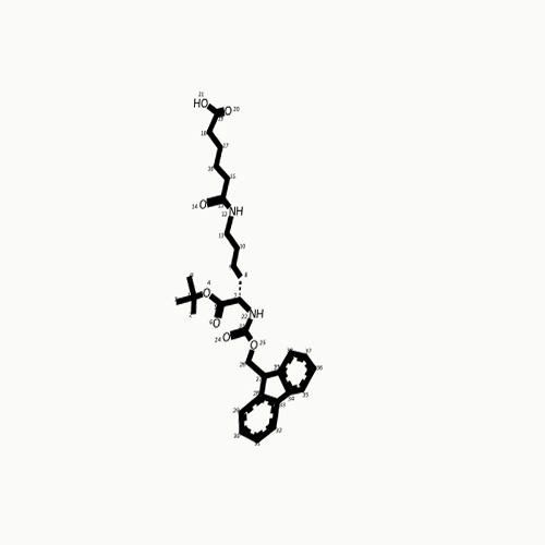 CC(C)(C)OC(=O)[C@H](CCCCNC(=O)CCCCC(=O)O)NC(=O)OCC1c2ccccc2-c2ccccc21